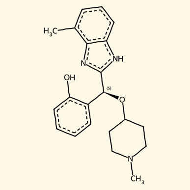 Cc1cccc2[nH]c([C@@H](OC3CCN(C)CC3)c3ccccc3O)nc12